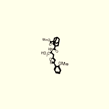 COC(=O)C12CC3CC(CC(C(=O)NC(Cc4cc(-c5ccccc5OC)no4)C(=O)O)(C3)C1)C2